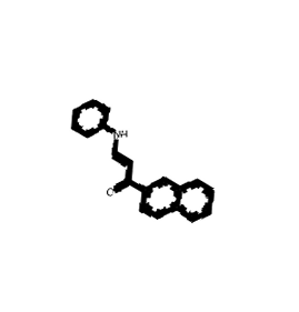 O=C(C=CNc1ccccc1)c1ccc2ccccc2c1